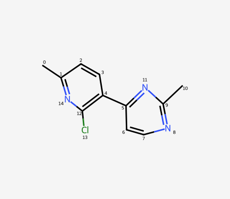 Cc1ccc(-c2ccnc(C)n2)c(Cl)n1